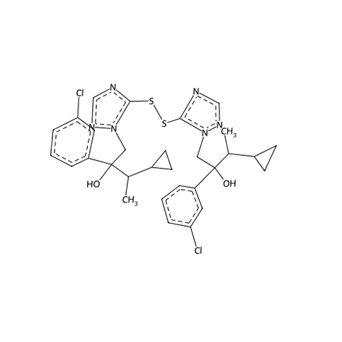 CC(C1CC1)C(O)(Cn1ncnc1SSc1ncnn1CC(O)(c1cccc(Cl)c1)C(C)C1CC1)c1cccc(Cl)c1